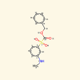 CNc1cccc(S(=O)(=O)C(=O)OCc2ccccc2)c1